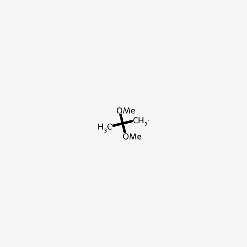 [CH2]C(C)(OC)OC